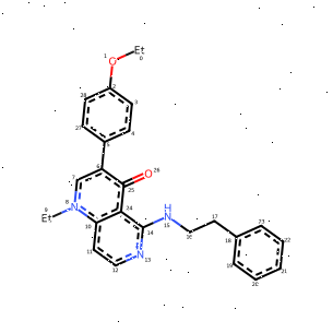 CCOc1ccc(-c2cn(CC)c3ccnc(NCCc4ccccc4)c3c2=O)cc1